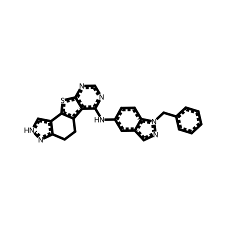 c1ccc(Cn2ncc3cc(Nc4ncnc5sc6c(c45)CCc4n[nH]cc4-6)ccc32)cc1